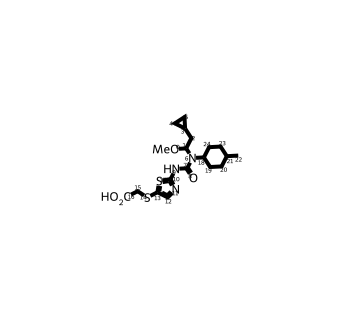 COC(CC1CC1)N(C(=O)Nc1ncc(SCC(=O)O)s1)C1CCC(C)CC1